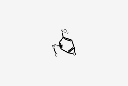 CCCCCCl.O=[N+]([O-])c1ccc2c(c1)O2